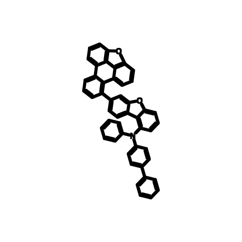 c1ccc(-c2ccc(N(c3ccccc3)c3cccc4oc5cc(-c6cccc7c8cccc9oc%10cccc(c67)c%10c98)ccc5c34)cc2)cc1